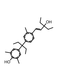 CCC(O)(C=Cc1ccc(C(CC)(CC)c2cc(C)c(O)c(C)c2)cc1C)CC